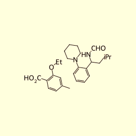 CC(C)CC(NC=O)c1ccccc1N1CCCCC1.CCOc1cc(C)ccc1C(=O)O